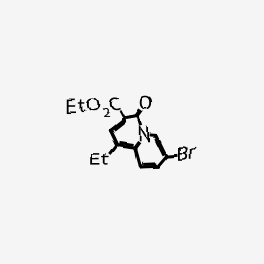 CCOC(=O)c1cc(CC)c2ccc(Br)cn2c1=O